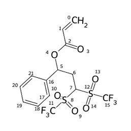 C=CC(=O)OC(CC(S(=O)(=O)C(F)(F)F)S(=O)(=O)C(F)(F)F)c1ccccc1